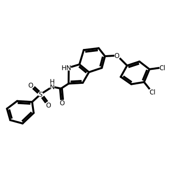 O=C(NS(=O)(=O)c1ccccc1)c1cc2cc(Oc3ccc(Cl)c(Cl)c3)ccc2[nH]1